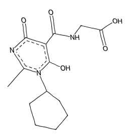 Cc1nc(=O)c(C(=O)NCC(=O)O)c(O)n1C1CCCCC1